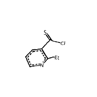 CCc1ncccc1C(=S)Cl